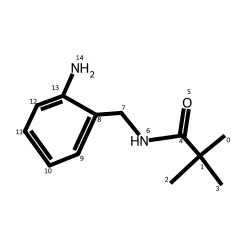 CC(C)(C)C(=O)NCc1ccccc1N